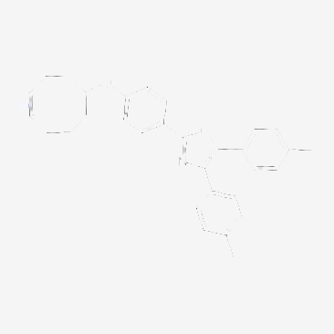 Cc1ccc(-c2nc(-c3ccc(OC4CC/C=C\CCC4)cc3)oc2-c2ccc(C)cc2)cc1